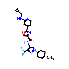 C[C@H]1CC[C@@H](n2cc(NC(=O)c3coc(-c4ccnc(NCC5CC5)c4)n3)c(C(F)F)n2)CC1